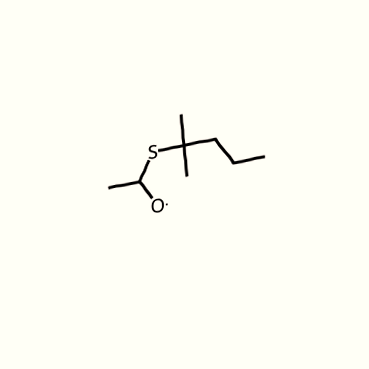 CCCC(C)(C)SC(C)[O]